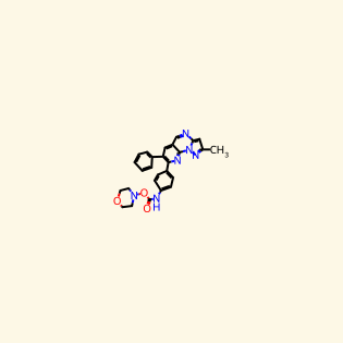 Cc1cc2ncc3cc(-c4ccccc4)c(-c4ccc(NC(=O)ON5CCOCC5)cc4)nc3n2n1